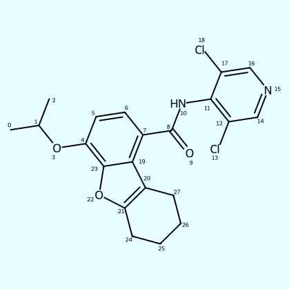 CC(C)Oc1ccc(C(=O)Nc2c(Cl)cncc2Cl)c2c3c(oc12)CCCC3